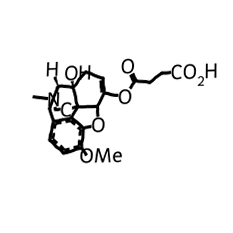 COc1ccc2c3c1OC1C(OC(=O)CCC(=O)O)=CC[C@@]4(O)[C@@H](C2)N(C)CCC314